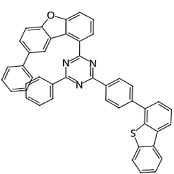 c1ccc(-c2ccc3oc4cccc(-c5nc(-c6ccccc6)nc(-c6ccc(-c7cccc8c7sc7ccccc78)cc6)n5)c4c3c2)cc1